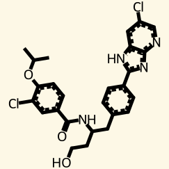 CC(C)Oc1ccc(C(=O)NC(CCO)Cc2ccc(-c3nc4ncc(Cl)cc4[nH]3)cc2)cc1Cl